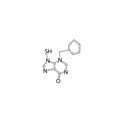 O=c1ncn(Cc2ccccc2)c2c1ncn2S